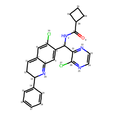 O=C(NC(c1cc2c(cc1Cl)=CCC(c1ccccc1)N=2)c1nccnc1Cl)C1CCC1